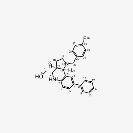 OC[C@H]1Nc2ccc(-c3ccccc3)cc2[C@H]2[C@@H]1CCN2Cc1ccc(F)cc1